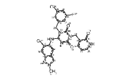 Cn1cc2cc(Nc3nc(=O)n(Cc4ccc[nH]c4=O)c(=O)n3Cc3cc(F)cc(Cl)c3)c(Cl)cc2n1